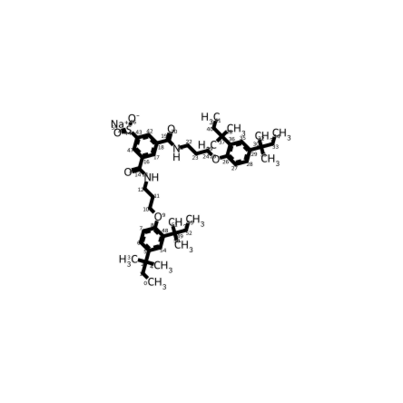 CCC(C)(C)c1ccc(OCCCNC(=O)c2cc(C(=O)NCCCOc3ccc(C(C)(C)CC)cc3C(C)(C)CC)cc(S(=O)[O-])c2)c(C(C)(C)CC)c1.[Na+]